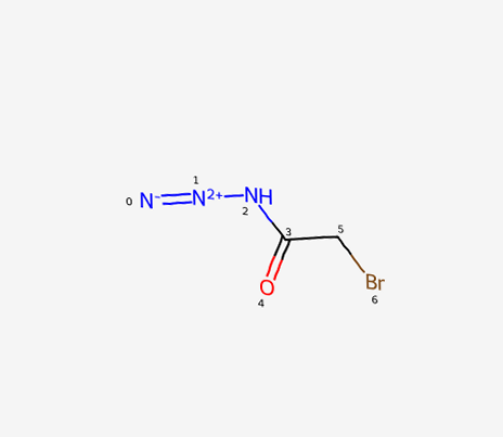 [N-]=[N+2]NC(=O)CBr